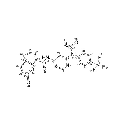 O=C(Nc1ccnc(N(c2ccc(C(F)(F)F)cc2)[SH](=O)=O)c1)c1cccc2ccc(=O)oc12